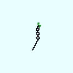 CCCCCCCCCCC1CCC(C2CCC(c3ccc(C=C(F)F)cc3)CC2)CC1